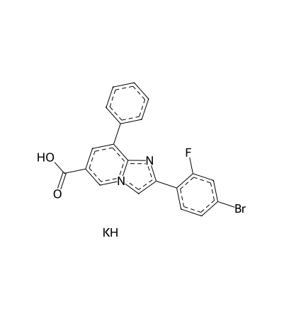 O=C(O)c1cc(-c2ccccc2)c2nc(-c3ccc(Br)cc3F)cn2c1.[KH]